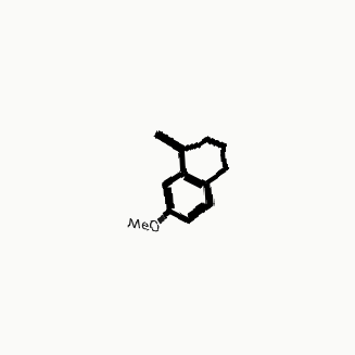 C=C1CCCc2ccc(OC)cc21